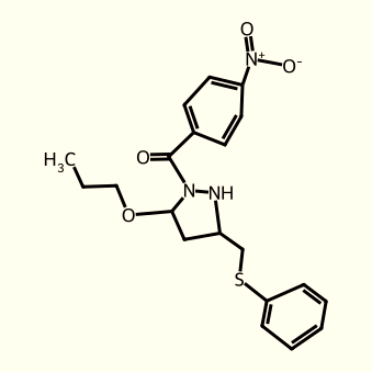 CCCOC1CC(CSc2ccccc2)NN1C(=O)c1ccc([N+](=O)[O-])cc1